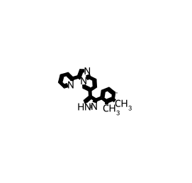 Cc1[c]ccc(-c2n[nH]cc2-c2ccc3ncc(-c4ccccn4)n3c2)c1C